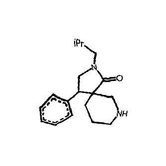 CC(C)CN1CC(c2ccccc2)C2(CCCNC2)C1=O